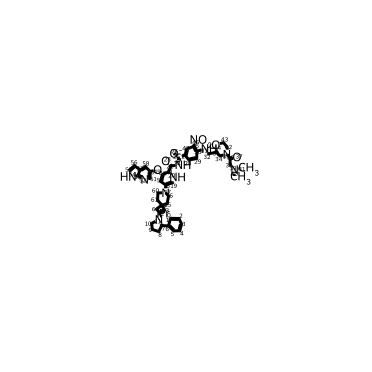 CC(C)c1ccccc1C1CCCN1C1CC2(CCN(C3=CNC(C(=O)N[S+]([O-])c4ccc(NCC5CN(C(=O)CN(C)C)CCO5)c([N+](=O)[O-])c4)C(Oc4cnc5[nH]ccc5c4)=C3)CC2)C1